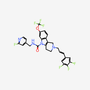 O=C(NCc1ccnc(F)c1)n1c2c(c3ccc(OC(F)(F)F)cc31)CN(CC=Cc1cc(F)c(F)c(F)c1)CC2